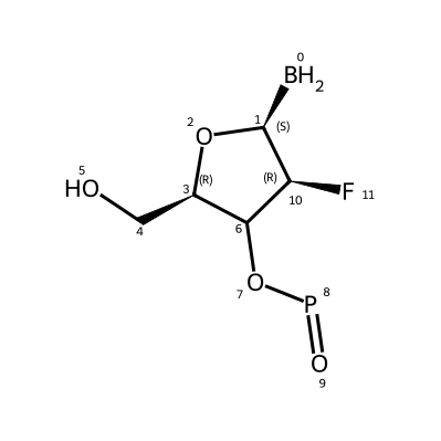 B[C@@H]1O[C@H](CO)C(OP=O)[C@@H]1F